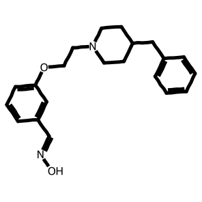 ON=Cc1cccc(OCCN2CCC(Cc3ccccc3)CC2)c1